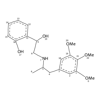 COc1cc(CC(C)NCC(O)c2ccccc2O)cc(OC)c1OC